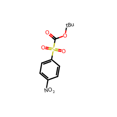 CC(C)(C)OC(=O)S(=O)(=O)c1ccc([N+](=O)[O-])cc1